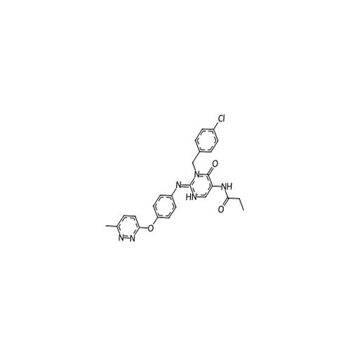 CCC(=O)Nc1c[nH]/c(=N\c2ccc(Oc3ccc(C)nn3)cc2)n(Cc2ccc(Cl)cc2)c1=O